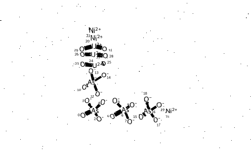 O=[As]([O-])([O-])[O-].O=[As]([O-])([O-])[O-].O=[As]([O-])([O-])[O-].O=[As]([O-])([O-])[O-].[Ni+2].[Ni+2].[Ni+2].[O]=[U+2]=[O].[O]=[U+2]=[O].[O]=[U+2]=[O]